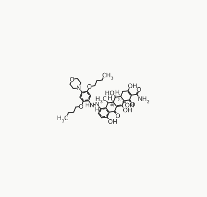 CCCCOc1cc(N2CCOCC2)c(OCCCC)cc1NNc1ccc(O)c2c1C(C)[C@@H]1C(=C(O)[C@]3(O)C(=O)C(C(N)=O)=C(O)C[C@@H]3[C@H]1O)C2=O